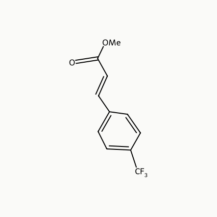 COC(=O)C=Cc1ccc(C(F)(F)F)cc1